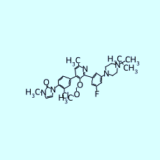 COCOc1c(-c2ccc(-n3ccn(C)c3=O)c(Cl)c2)cc(C)nc1-c1cc(F)cc(N2CCN(C(C)(C)C)CC2)c1